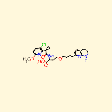 COc1ccc(Cl)c(C2(C(=O)NC(CCOCCCCc3ccc4c(n3)NCCC4)C(=O)O)CC2)n1